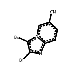 N#Cc1ccc2nc(Br)c(Br)n2c1